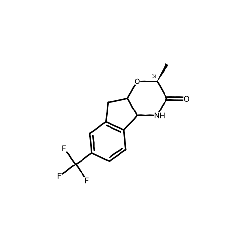 C[C@@H]1OC2Cc3cc(C(F)(F)F)ccc3C2NC1=O